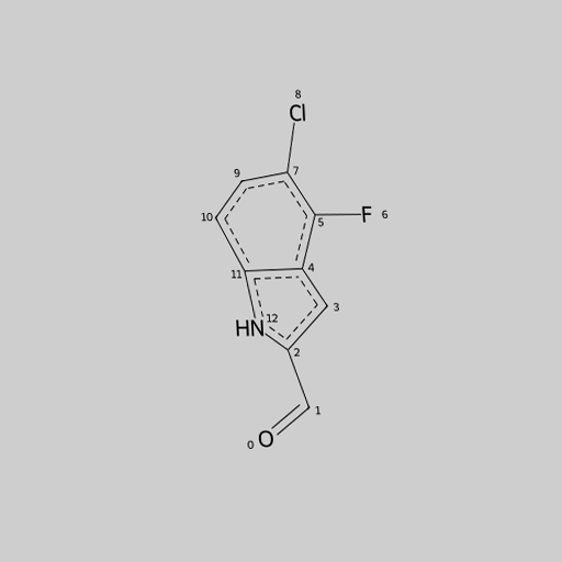 O=Cc1cc2c(F)c(Cl)ccc2[nH]1